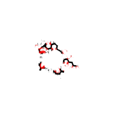 C=C1C[C@@H]2CC[C@]34C[C@@H](OC)[C@H](O3)[C@H]3C[C@@H](O4)[C@H]4OC(CC[C@@H]4O3)CC(=O)CC3C(CC4O[C@@H](CCC1O2)C[C@@H](C)C4=C)OC(C[C@H](O)CO)[C@@H]3OC